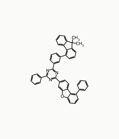 CC1(C)c2ccccc2-c2c(-c3cccc(-c4nc(-c5ccccc5)nc(-c5ccc6c(c5)oc5cccc(-c7ccccc7)c56)n4)c3)cccc21